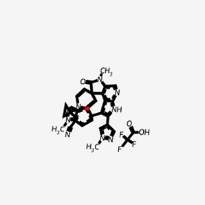 CN1C(=O)C2(C=CN(C3(CC#N)CC3)C=C2)c2c1cnc1[nH]c(-c3cnn(C)c3)c(-c3ccc4c(cnn4C)c3)c21.O=C(O)C(F)(F)F